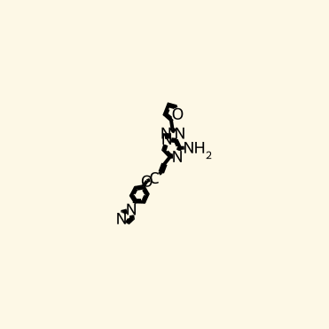 Nc1nc(C#CCOc2ccc(-n3ccnc3)cc2)cn2nc(-c3ccco3)nc12